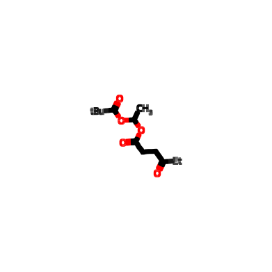 CCC(=O)CCC(=O)OC(C)OC(=O)C(C)(C)C